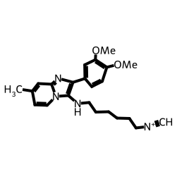 C#[N+]CCCCCCNc1c(-c2ccc(OC)c(OC)c2)nc2cc(C)ccn12